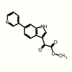 COC(=O)C(=O)c1c[nH]c2cc(-c3cccnc3)ccc12